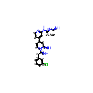 CN/C(=N\C=N)Nc1cc(-c2ccn(C(=N)Cc3cccc(Cl)c3)c(=N)c2)ccn1